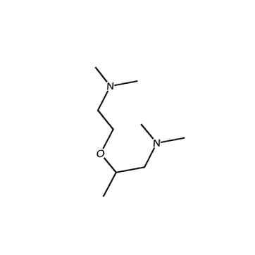 CC(CN(C)C)OCCN(C)C